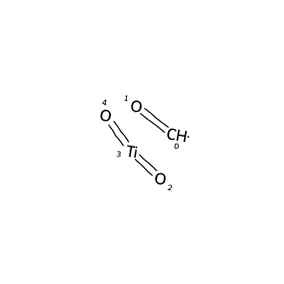 [CH]=O.[O]=[Ti]=[O]